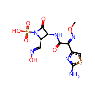 CO/N=C(\C(=O)N[C@@H]1C(=O)N(S(=O)(=O)O)[C@@H]1/C=N/O)c1csc(N)n1